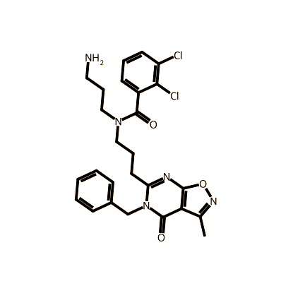 Cc1noc2nc(CCCN(CCCN)C(=O)c3cccc(Cl)c3Cl)n(Cc3ccccc3)c(=O)c12